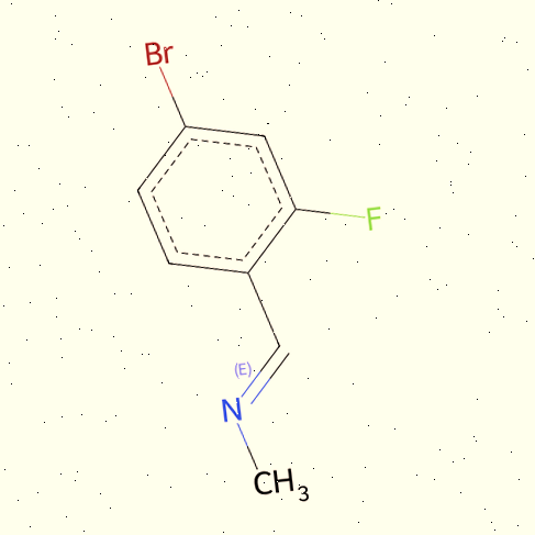 C/N=C/c1ccc(Br)cc1F